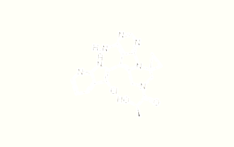 C[C@@H](O)C(=O)N1Cc2c(-c3[nH]c4ncccc4c3Cl)c3c(N)ncnc3n2C2(CC2)C1